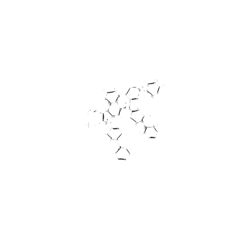 C=Cc1c(C)n(-c2ccc(-c3ccccc3)cc2)c2cc(N(C3=CC(c4ccccc4)CC=C3)c3ccc(-c4ccccc4)cc3)c3ccccc3c12